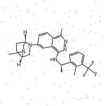 Cc1c([C@@H](C)Nc2nnc(C)c3ccc(N4C[C@@H]5CC[C@H]4CN5C)cc23)cccc1C(F)(F)F